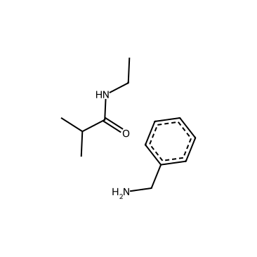 CCNC(=O)C(C)C.NCc1ccccc1